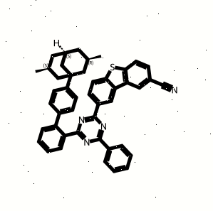 C[C@@H]1C[C@@H]2C[C@H](C)CC(c3ccc(-c4ccccc4-c4nc(-c5ccccc5)nc(-c5ccc6sc7ccc(C#N)cc7c6c5)n4)cc3)(C1)C2